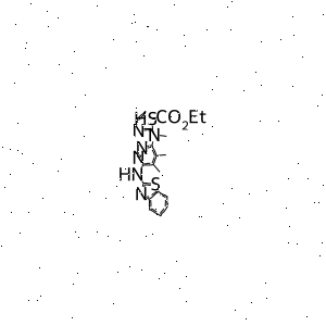 CCOC(=O)[SH]1C=CN=C1N(C)c1nnc(Nc2nc3ccccc3s2)c(C)c1C